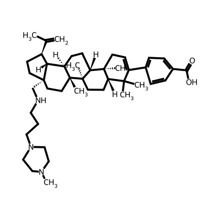 C=C(C)[C@@H]1CC[C@]2(CNCCCN3CCN(C)CC3)CC[C@]3(C)[C@H](CC[C@@H]4[C@@]5(C)CC=C(c6ccc(C(=O)O)cc6)C(C)(C)[C@@H]5CC[C@]43C)[C@@H]12